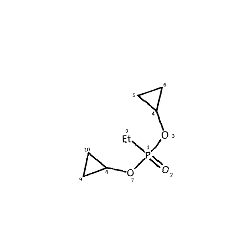 CCP(=O)(OC1CC1)OC1CC1